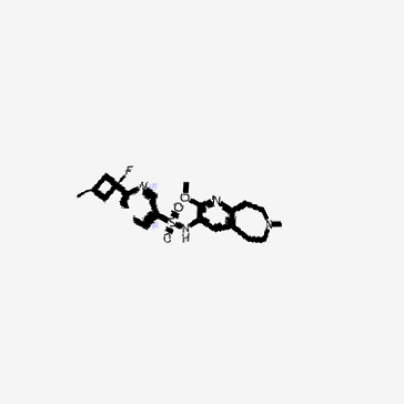 C=C(/N=C\C(=C/C)S(=O)(=O)Nc1cc2c(nc1OC)CCN(C)CC2)[C@]1(F)C[C@@H](C)C1